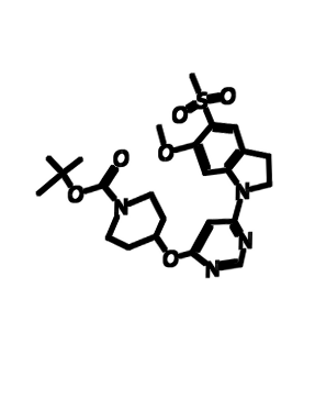 COc1cc2c(cc1S(C)(=O)=O)CCN2c1cc(OC2CCN(C(=O)OC(C)(C)C)CC2)ncn1